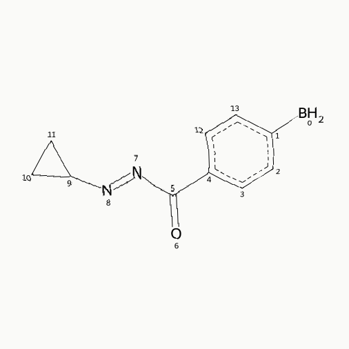 Bc1ccc(C(=O)N=NC2CC2)cc1